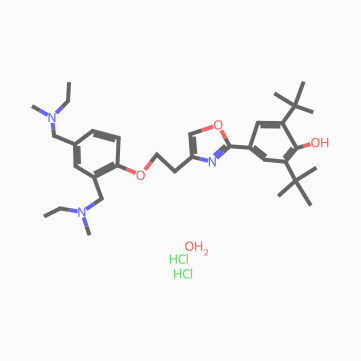 CCN(C)Cc1ccc(OCCc2coc(-c3cc(C(C)(C)C)c(O)c(C(C)(C)C)c3)n2)c(CN(C)CC)c1.Cl.Cl.O